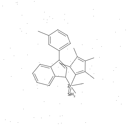 CC1=C(C)C(C)[C]([Zr]([CH3])([CH3])(=[SiH2])[CH]2C=C(c3cccc(C)c3)c3ccccc32)=C1C